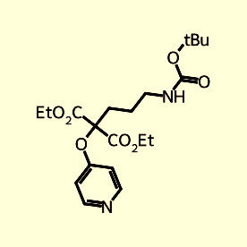 CCOC(=O)C(CCCNC(=O)OC(C)(C)C)(Oc1ccncc1)C(=O)OCC